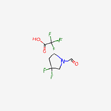 O=C(O)C(F)(F)F.O=CN1CCC(F)(F)C1